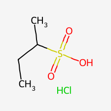 CCC(C)S(=O)(=O)O.Cl